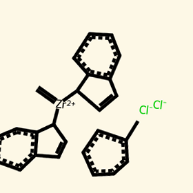 Cc1ccccc1.[CH2]=[Zr+2]([CH]1C=Cc2ccccc21)[CH]1C=Cc2ccccc21.[Cl-].[Cl-]